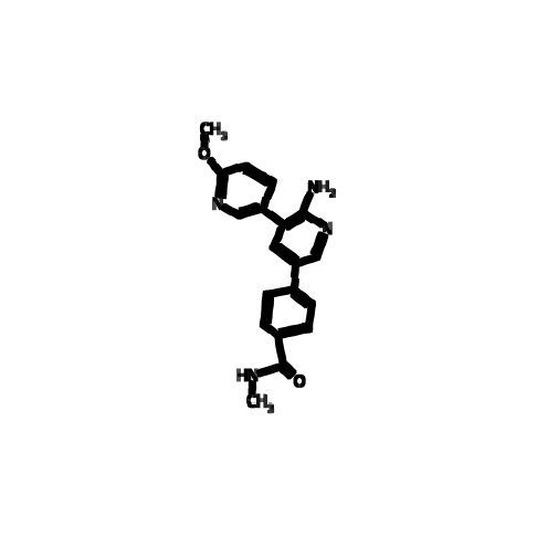 CNC(=O)c1ccc(-c2cnc(N)c(-c3ccc(OC)nc3)c2)cc1